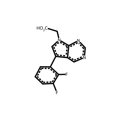 O=C(O)Cn1cc(-c2cccc(F)c2F)c2cncnc21